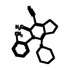 C=C1C(C#N)=C2CCCC2=C(N2CCCCC2)N1c1ccccc1C